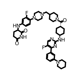 O=C1CCC(Nc2ccc(N3CCN(CC4CCN(C(=O)[C@H]5CC[C@H](Nc6ncc(F)c(-c7cccc(N8CCCCC8)c7)n6)CC5)CC4)CC3)c(F)c2)C(=O)N1